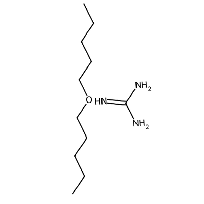 CCCCCOCCCCC.N=C(N)N